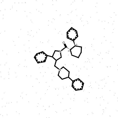 O=C([C@H]1CCCC[C@@H]1c1ccccc1)N1CC(CN2CCC(c3ccccc3)CC2)C(c2ccccc2)C1